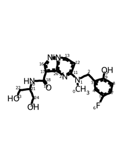 CN(Cc1cc(F)ccc1O)c1ccn2ncc(C(=O)NC(CO)CO)c2n1